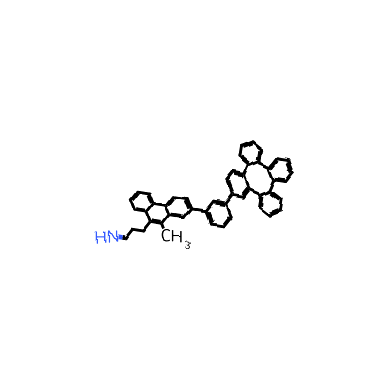 Cc1c(CCC=N)c2ccccc2c2ccc(-c3cccc(-c4ccc5c(c4)-c4ccccc4-c4ccccc4-c4ccccc4-5)c3)cc12